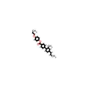 CCCOc1ccc(OC(=O)c2ccc(C3CCC(CCC)CC3C)cc2)cc1